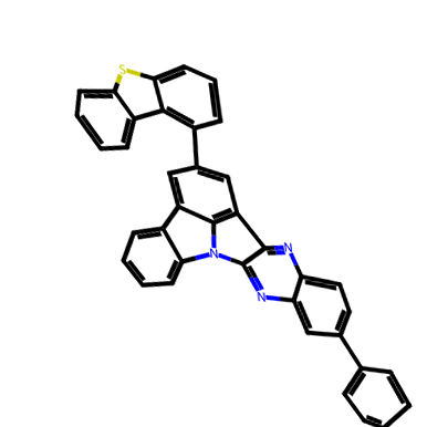 c1ccc(-c2ccc3nc4c5cc(-c6cccc7sc8ccccc8c67)cc6c7ccccc7n(c4nc3c2)c65)cc1